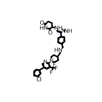 N=N/C(=C\NC1CCC(=O)NC1=O)c1ccc(CNCC2CCN(c3ncc(-c4cccc(Cl)c4)cc3C(F)(F)F)CC2)cc1